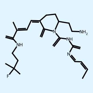 C=C(/N=C\C=C/C)NC(=C)N1C(=C)/C(=C\C=C(/C)C(=C)NCCC(C)(C)F)CCC1CCN